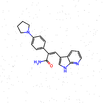 NC(=O)C(=Cc1c[nH]c2ncccc12)c1ccc(N2CCCC2)cc1